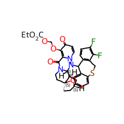 CCOC(=O)OCOc1c2n(ccc1=O)N(C1c3ccccc3SCc3c1ccc(F)c3F)[C@@H]1[C@H]3C[C@@H]4CC[C@@]3(CCN1C2=O)O4